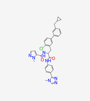 Cn1cnnc1-c1ccc(NC(=O)C(Cc2cc(-c3cccc(CC4CC4)c3)ccc2Cl)NC(=O)c2ccnn2C)cc1